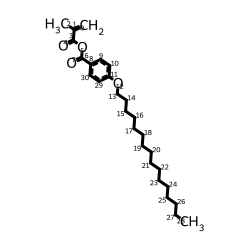 C=C(C)C(=O)OC(=O)c1ccc(OCCCCCCCCCCCCCCCC)cc1